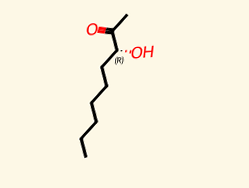 CCCCCC[C@@H](O)C(C)=O